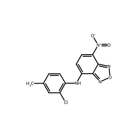 Cc1ccc(Nc2ccc([N+](=O)[O-])c3nonc23)c(Cl)c1